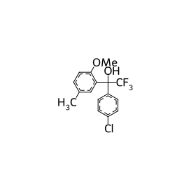 COc1ccc(C)cc1C(O)(c1ccc(Cl)cc1)C(F)(F)F